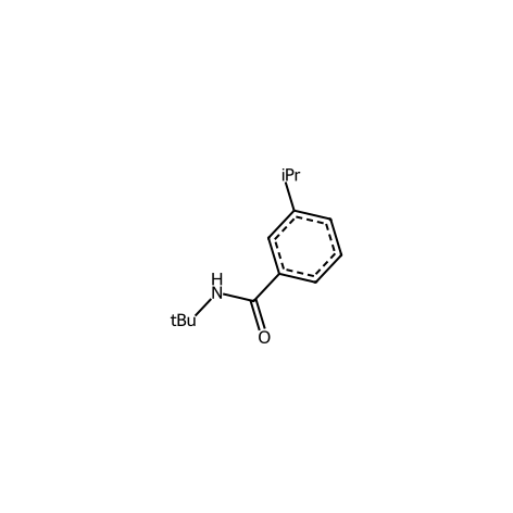 CC(C)c1cccc(C(=O)NC(C)(C)C)c1